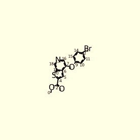 COC(=O)c1cc2c(Oc3ccc(Br)cc3)cncc2s1